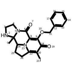 CC12NCCN1C(=O)c1c(OCc3ccccc3)c(=O)c(I)c3n1C2CC3